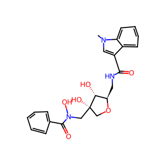 Cn1cc(C(=O)NC[C@H]2OC[C@@](O)(CN(O)C(=O)c3ccccc3)[C@@H]2O)c2ccccc21